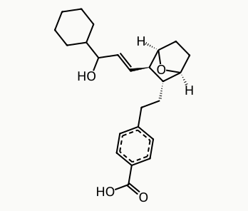 O=C(O)c1ccc(CC[C@@H]2[C@@H](/C=C/C(O)C3CCCCC3)[C@H]3CC[C@@H]2O3)cc1